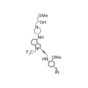 COCC(O)CN1CCC(Nc2cccc3c2cc(C#CCNc2ccc(SC(C)C)cc2OC)n3CC(F)(F)F)CC1